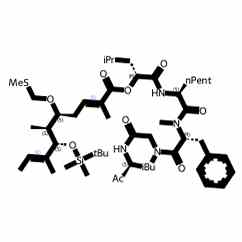 C/C=C(\C)[C@@H](O[Si](C)(C)C(C)(C)C)[C@@H](C)[C@H](C/C=C(\C)C(=O)O[C@H](CC(C)C)C(=O)N[C@@H](CCCCC)C(=O)N(C)[C@H](Cc1ccccc1)C(=O)N(C)CC(=O)N[C@H](C(C)=O)C(C)CC)OCSC